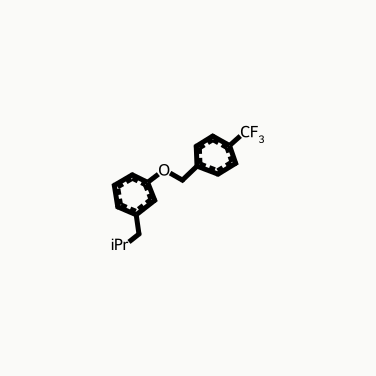 CC(C)Cc1cccc(OCc2ccc(C(F)(F)F)cc2)c1